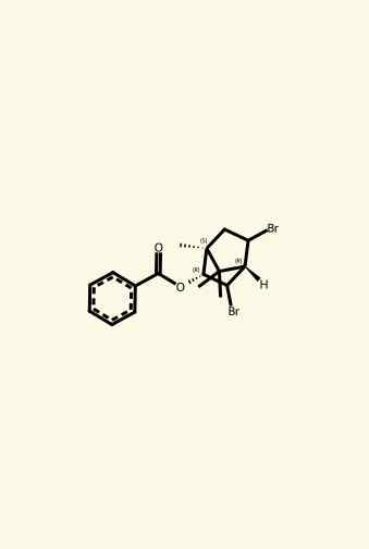 CC1(C)[C@@H]2C(Br)C[C@]1(C)[C@@H](OC(=O)c1ccccc1)C2Br